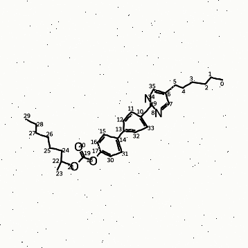 CCCCCCc1cnc(-c2ccc(-c3ccc(OC(=O)OC(C)CCCCCC)cc3)cc2)nc1